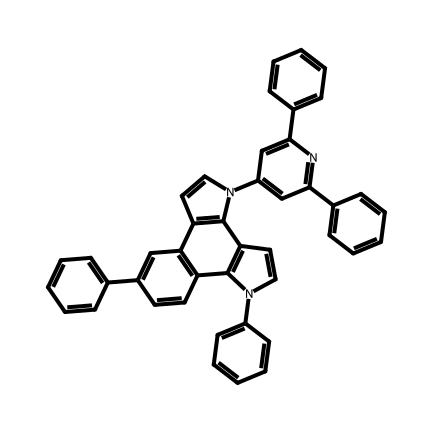 c1ccc(-c2ccc3c(c2)c2ccn(-c4cc(-c5ccccc5)nc(-c5ccccc5)c4)c2c2ccn(-c4ccccc4)c32)cc1